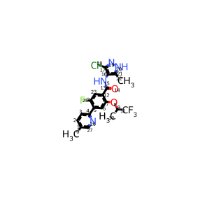 Cc1ccc(-c2cc(OC(C)C(F)(F)F)c(C(=O)Nc3c(Cl)n[nH]c3C)cc2F)nc1